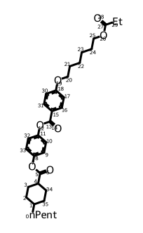 CCCCCC1CCC(C(=O)Oc2ccc(OC(=O)c3ccc(OCCCCCCOC(=O)CC)cc3)cc2)CC1